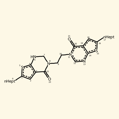 CCCCCCCc1cc2c(s1)NCN(CCn1cnc3sc(CCCCCCC)cc3c1=O)C2=O